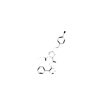 C#Cc1ccc(CO[C@H]2CC(C(=O)Nc3snnc3-c3ccccc3)N(C(=O)OC(C)(C)C)C2)cc1